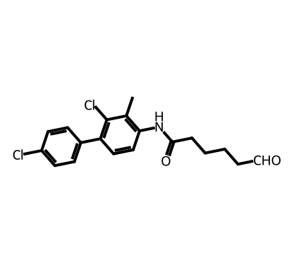 Cc1c(NC(=O)CCCCC=O)ccc(-c2ccc(Cl)cc2)c1Cl